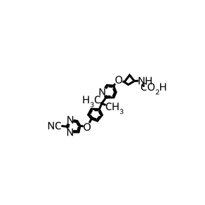 CC(C)(c1ccc(Oc2cnc(C#N)nc2)cc1)c1ccc(OC2CC(NC(=O)O)C2)cn1